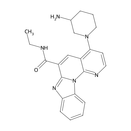 CCNC(=O)c1cc2c(N3CCCC(N)C3)ccnc2n2c1nc1ccccc12